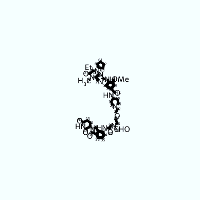 CC[C@@H]1C(=O)N(C)c2cnc(Nc3ccc(C(=O)NC4CCN(CCOCCN(C=O)CC(=O)Nc5cccc6c5CN(C5CCC(=O)NC5=O)C6=O)CC4)cc3OC)nc2N1C1CCCC1